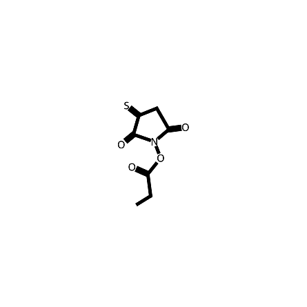 CCC(=O)ON1C(=O)CC(=S)C1=O